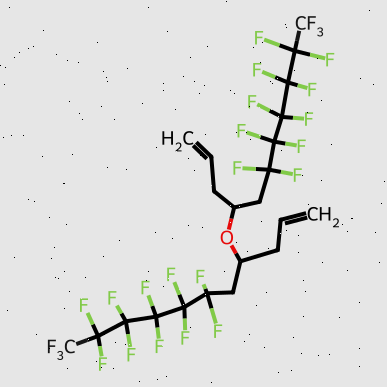 C=CCC(CC(F)(F)C(F)(F)C(F)(F)C(F)(F)C(F)(F)C(F)(F)F)OC(CC=C)CC(F)(F)C(F)(F)C(F)(F)C(F)(F)C(F)(F)C(F)(F)F